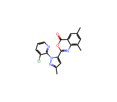 Cc1cc(C)c2nc(-c3cc(C)nn3-c3ncccc3Cl)oc(=O)c2c1